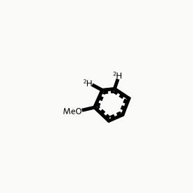 [2H]c1cccc(OC)c1[2H]